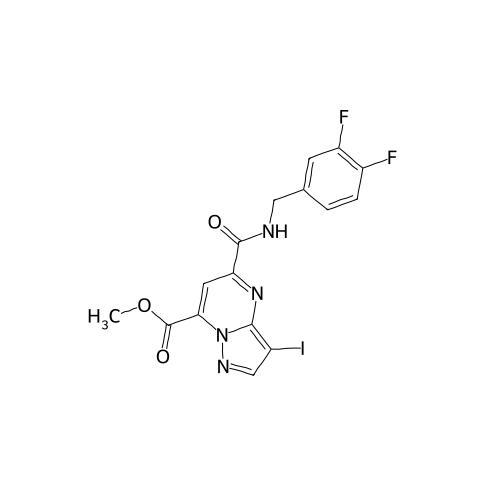 COC(=O)c1cc(C(=O)NCc2ccc(F)c(F)c2)nc2c(I)cnn12